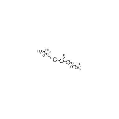 C=C(C)C(=O)OCCCc1ccc(-c2ccc(-c3ccc(OC(=O)C(=C)C)cc3)c(CF)c2)cc1